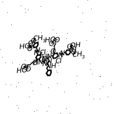 COc1ccc(N=Nc2cc(OCCCS(=O)(=O)O)c(Nc3nc(NCc4ccccc4)nc(Nc4cc(Cl)c(N=Nc5ccc(OC)c(S(=O)(=O)O)c5)cc4OCCCS(=O)(=O)O)n3)cc2Cl)cc1S(=O)(=O)O